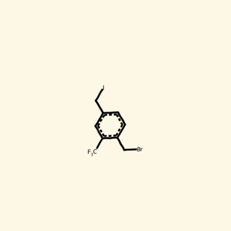 FC(F)(F)c1cc(CI)ccc1CBr